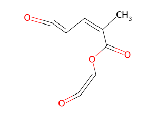 CC(=CC=C=O)C(=O)OC=C=O